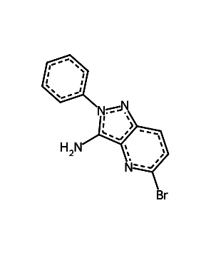 Nc1c2nc(Br)ccc2nn1-c1ccccc1